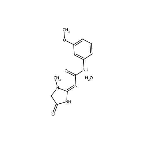 COc1cccc(NC(=O)N=C2NC(=O)CN2C)c1.O